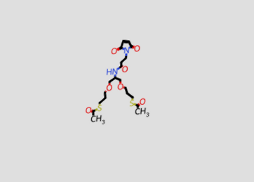 CC(=O)SCCCOCC(COCCCSC(C)=O)NC(=O)CCN1C(=O)C=CC1=O